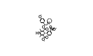 COC(=O)C1=C(C)NC(C)=C(C(=O)OC(CN2CCCCC2)c2ccc(OC)cc2)C1c1cccc([N+](=O)[O-])c1